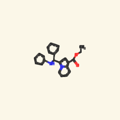 CCOC(=O)c1cc([C@@H](Nc2ccccc2)c2ccccc2)n2ccccc12